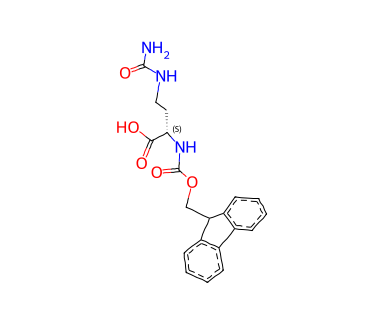 NC(=O)NCC[C@H](NC(=O)OCC1c2ccccc2-c2ccccc21)C(=O)O